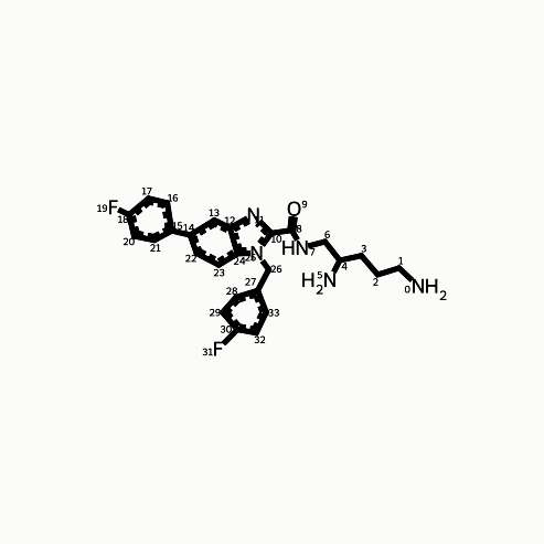 NCCCC(N)CNC(=O)c1nc2cc(-c3ccc(F)cc3)ccc2n1Cc1ccc(F)cc1